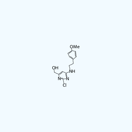 COc1ccc(CCNc2cc(CO)nc(Cl)n2)cc1